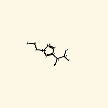 CC(C)C(C)c1cnn(CCF)c1